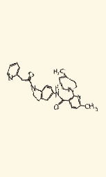 Cc1ccc(C(=O)Nc2ccc3c(c2)CCN3C(=O)Cc2ccccn2)c(N2CCC(C)CC2)n1